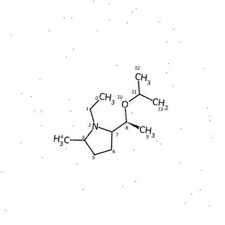 CCN1C(C)CCC1[C@H](C)OC(C)C